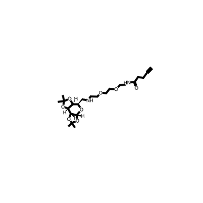 C#CCCC(=O)NCCOCCOCCNC[C@H]1O[C@@H]2OC(C)(C)O[C@@H]2[C@H]2OC(C)(C)O[C@H]21